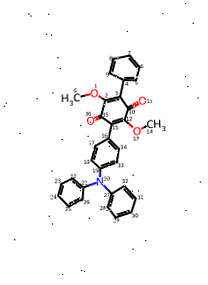 COC1=C(c2ccccc2)C(=O)C(OC)=C(c2ccc(N(c3ccccc3)c3ccccc3)cc2)C1=O